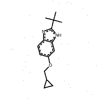 CC(C)(C)c1nc2ccc(OCC3CC3)cc2[nH]1